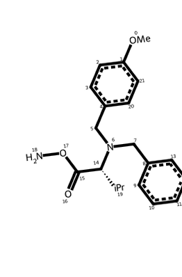 COc1ccc(CN(Cc2cccnc2)[C@@H](C(=O)ON)C(C)C)cc1